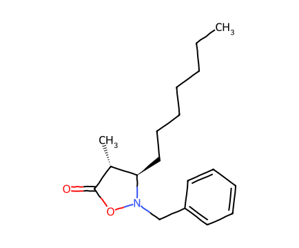 CCCCCCC[C@@H]1[C@@H](C)C(=O)ON1Cc1ccccc1